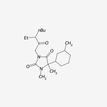 CCCCC(CC)C(=O)CN1C(=O)N(C)C(C)(C2CCCC(C)C2)C1=O